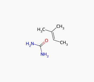 CC=C(C)C.NC(N)=O